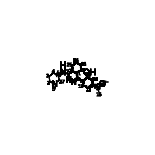 CN1CCC[C@@H](Nc2nnc(-c3ccc([S+](C)[O-])cc3O)c3ccccc23)C1